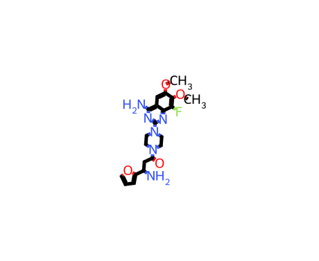 COc1cc2c(N)nc(N3CCN(C(=O)CC(N)c4ccco4)CC3)nc2c(F)c1OC